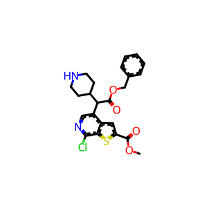 COC(=O)c1cc2c(C(C(=O)OCc3ccccc3)C3CCNCC3)cnc(Cl)c2s1